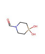 O=[C]N1CCS(O)(O)CC1